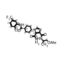 COCC(C)NC(=O)c1ncn([C@H]2CC[C@H](C(=O)Nc3cc(C(F)(F)F)ccc3Cl)CC2)c1C(N)=O